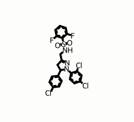 O=S(=O)(NCC1=NN(c2ccc(Cl)cc2Cl)C(c2ccc(Cl)cc2)C1)c1c(F)cccc1F